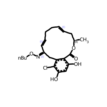 CCCCO/N=C1\C=C\CC/C=C/C[C@@H](C)OC(=O)c2c(O)cc(O)c(Cl)c2C1